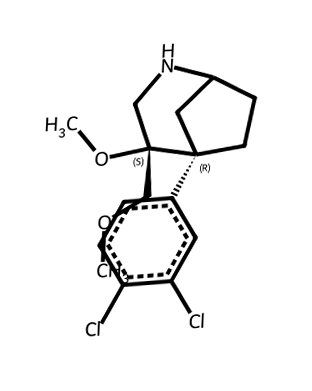 COC[C@@]1(OC)CNC2CC[C@]1(c1ccc(Cl)c(Cl)c1)C2